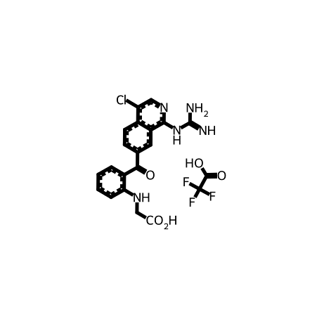 N=C(N)Nc1ncc(Cl)c2ccc(C(=O)c3ccccc3NCC(=O)O)cc12.O=C(O)C(F)(F)F